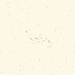 Cc1cc(N2CC(F)CC2F)ccc1-n1ccc2cnc(Nc3ccc(C(=O)N4CCOCC4)cc3)nc21